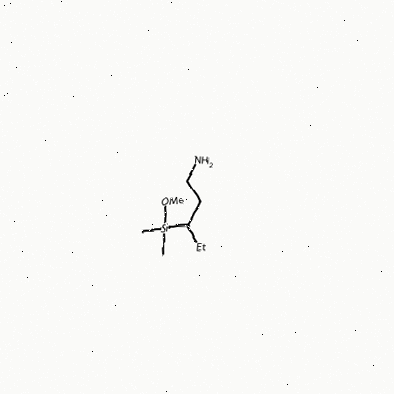 CCC(CCN)[Si](C)(C)OC